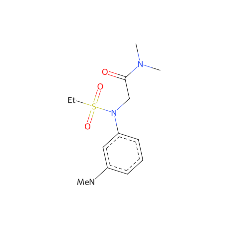 CCS(=O)(=O)N(CC(=O)N(C)C)c1cccc(NC)c1